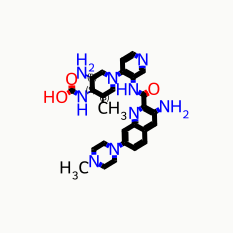 C[C@H]1CN(c2ccncc2NC(=O)c2nc3cc(N4CCN(C)CC4)ccc3cc2N)C[C@@H](N)[C@H]1NC(=O)O